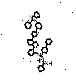 N=C(N/C=C(\N=C\c1ccccc1-c1cccc2c(-c3ccc(-c4cccc(-n5c(-c6ccccc6)nc6ccccc65)c4)cc3)cccc12)c1ccc(-c2ccccc2)cc1)c1ccccc1